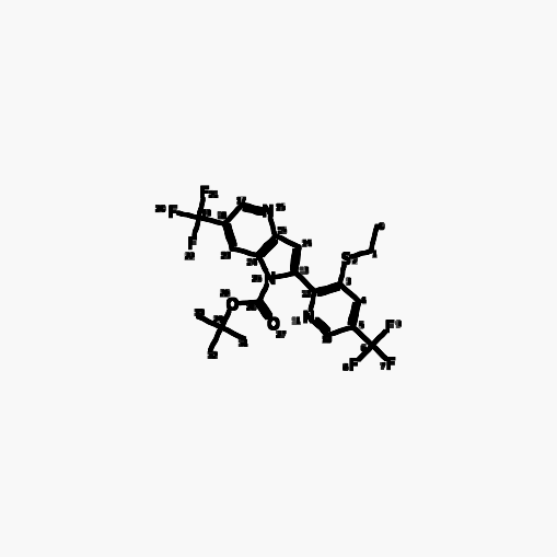 CCSc1cc(C(F)(F)F)cnc1-c1cc2ncc(C(F)(F)F)cc2n1C(=O)OC(C)(C)C